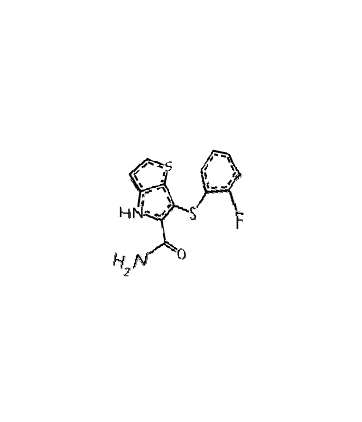 NC(=O)c1[nH]c2ccsc2c1Sc1ccccc1F